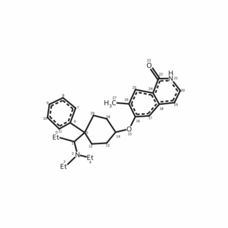 CCC(N(CC)CC)C1(c2ccccc2)CCC(Oc2cc3cc[nH]c(=O)c3cc2C)CC1